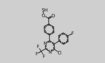 O=C(OS)c1ccc(-c2nc(C(F)(F)F)nc(Cl)c2-c2ccc(F)cc2)cc1